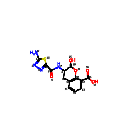 Nc1nnc(C(=O)NC2Cc3cccc(C(=O)O)c3OB2O)s1